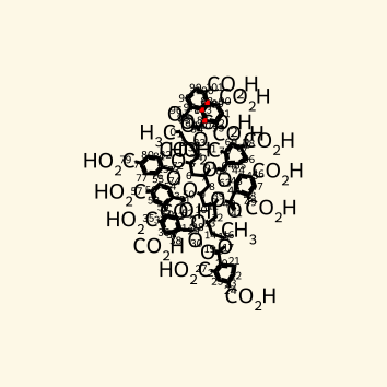 CC(CC(CC(CC(CC(CC(CC(CC(C)OC(=O)c1ccc(C(=O)O)cc1C(=O)O)OC(=O)c1ccc(C(=O)O)cc1C(=O)O)OC(=O)c1ccc(C(=O)O)cc1C(=O)O)OC(=O)c1ccc(C(=O)O)cc1C(=O)O)OC(=O)c1ccc(C(=O)O)cc1C(=O)O)OC(=O)c1ccc(C(=O)O)cc1C(=O)O)OC(=O)c1ccc(C(=O)O)cc1C(=O)O)OC(=O)c1ccc(C(=O)O)cc1C(=O)O